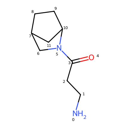 NCCC(=O)N1CC2CCC1C2